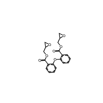 O=C(OCC1CO1)c1ccccc1Oc1ccccc1C(=O)OCC1CO1